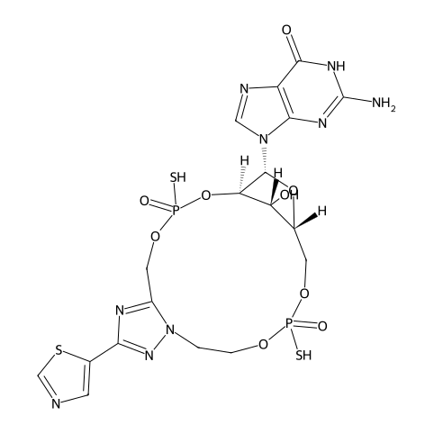 Nc1nc2c(ncn2[C@@H]2O[C@@H]3COP(=O)(S)OCCn4nc(-c5cncs5)nc4COP(=O)(S)O[C@@H]2[C@@H]3O)c(=O)[nH]1